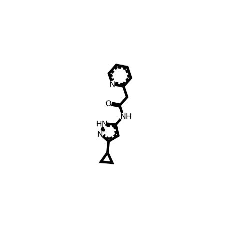 O=C(Cc1ccccn1)Nc1cc(C2CC2)n[nH]1